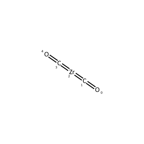 O=[C]=[Zr]=[C]=O